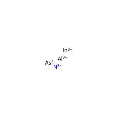 [Al+3].[As-3].[In+3].[N-3]